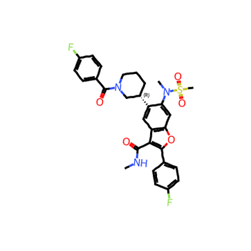 CNC(=O)c1c(-c2ccc(F)cc2)oc2cc(N(C)S(C)(=O)=O)c([C@H]3CCCN(C(=O)c4ccc(F)cc4)C3)cc12